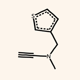 C#CN(C)Cc1ccsc1